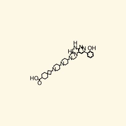 O=C(O)C1CCC2(CC1)CC(N1CCC(N3CCC(N4CCN5c6cc(-c7ccccc7O)nnc6NC[C@H]5C4)CC3)CC1)C2